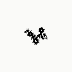 CN1CCN(C(CNc2nc(-c3ccc(N(C)C)cc3)nc3ccccc23)c2ccccc2)CC1